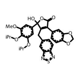 COc1cc(C2(O)OC(=O)C(c3ccc4c(c3)OCO4)=C2Cc2ccc3nsnc3c2)cc(OC(C)C)c1OC(C)C